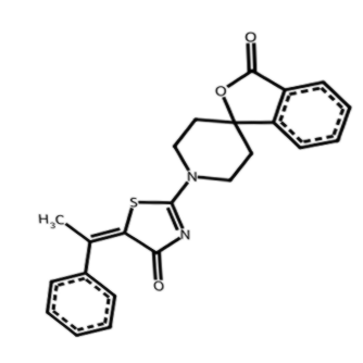 CC(=C1SC(N2CCC3(CC2)OC(=O)c2ccccc23)=NC1=O)c1ccccc1